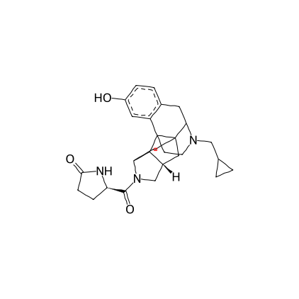 O=C1CC[C@H](C(=O)N2C[C@H]3CC45CCC2C3C42CCN(CC3CC3)C5Cc3ccc(O)cc32)N1